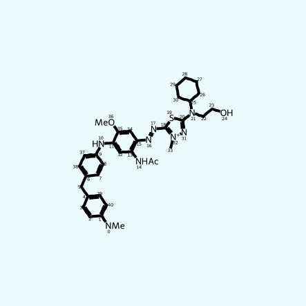 CNc1ccc(Cc2ccc(Nc3cc(NC(C)=O)c(N=Nc4sc(N(CCO)C5CCCCC5)n[n+]4C)cc3OC)cc2)cc1